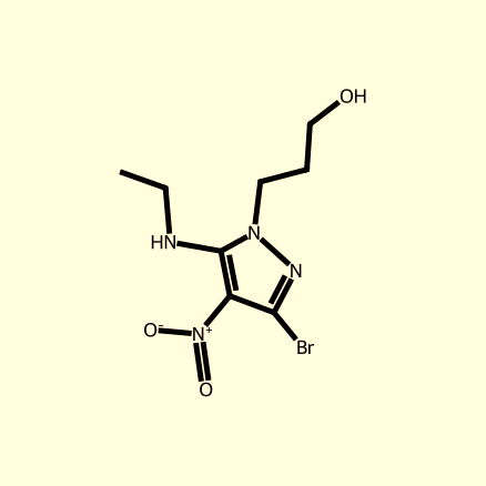 CCNc1c([N+](=O)[O-])c(Br)nn1CCCO